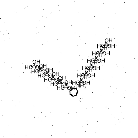 NC1C=CC=CC=C1.OB(O)O.OB(O)O.OB(O)O.OB(O)O.OB(O)O.OB(O)O.OB(O)O.OB(O)O.OB(O)O.OB(O)O.OB(O)O.OB(O)O